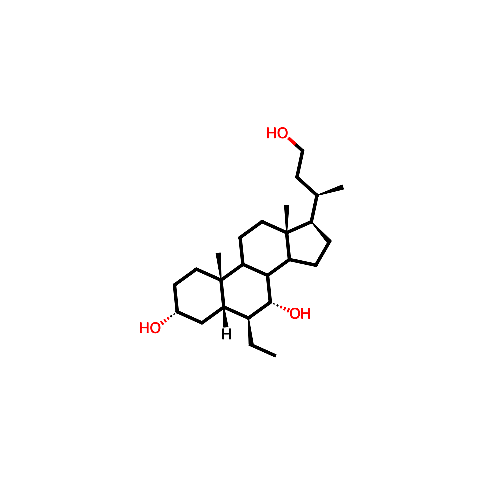 CC[C@@H]1[C@@H](O)C2C3CC[C@H]([C@H](C)CCO)[C@@]3(C)CCC2[C@@]2(C)CC[C@@H](O)C[C@@H]12